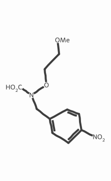 COCCON(Cc1ccc([N+](=O)[O-])cc1)C(=O)O